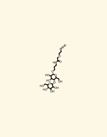 [N-]=[N+]=NCCOCC(=O)NCCCO[C@@H]1OC(CO)[C@@H](O[C@@H]2OC(CO)[C@H](O)C(O)C2O)C(O)C1O